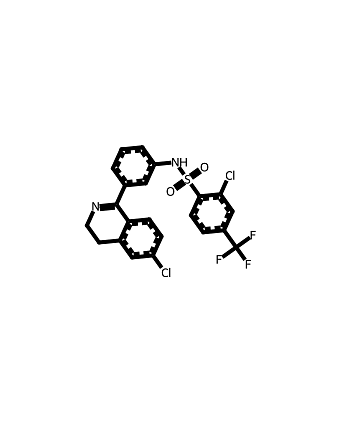 O=S(=O)(Nc1cccc(C2=NCCc3cc(Cl)ccc32)c1)c1ccc(C(F)(F)F)cc1Cl